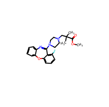 COC(=O)C(C)(C)CN1CCN(C2=Nc3ccccc3Oc3cccc(F)c32)CC1